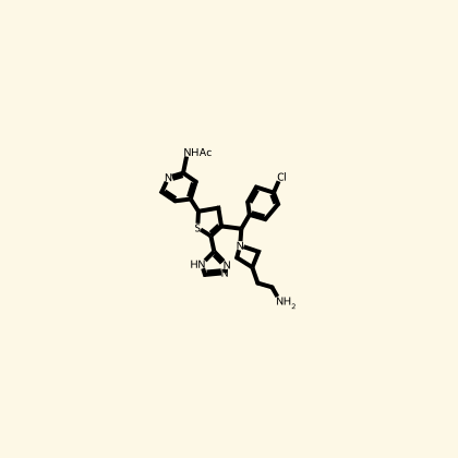 CC(=O)Nc1cc(C2CC(C(c3ccc(Cl)cc3)N3CC(CCN)C3)=C(c3nnc[nH]3)S2)ccn1